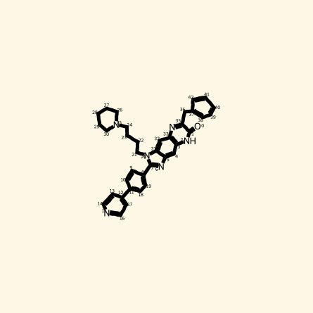 O=c1[nH]c2cc3nc(-c4ccc(-c5ccncc5)cc4)n(CCCCN4CCCCC4)c3cc2nc1Cc1ccccc1